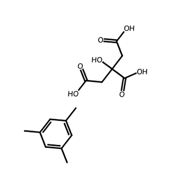 Cc1cc(C)cc(C)c1.O=C(O)CC(O)(CC(=O)O)C(=O)O